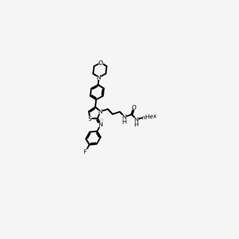 CCCCCCNC(=O)NCCCn1c(-c2ccc(N3CCOCC3)cc2)cs/c1=N\c1ccc(F)cc1